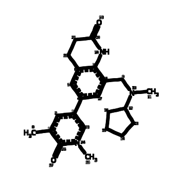 Cc1cc(-c2cc3c(c(CN(C)C4CCCC4)c2)NC(=O)CC3)cn(C)c1=O